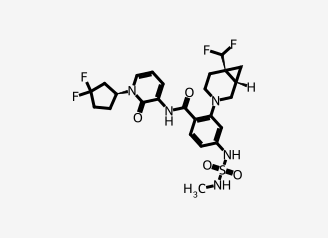 CNS(=O)(=O)Nc1ccc(C(=O)Nc2cccn([C@H]3CCC(F)(F)C3)c2=O)c(N2CC[C@]3(C(F)F)C[C@@H]3C2)c1